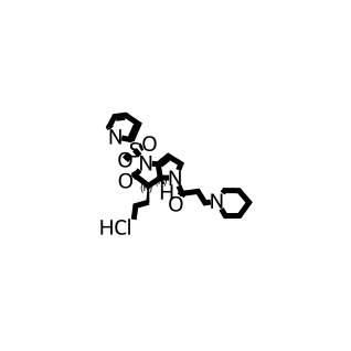 CCC[C@H]1C(=O)N(S(=O)(=O)c2ccccn2)C2=CCN(C(=O)CCN3CCCCC3)[C@@H]21.Cl